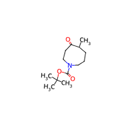 CC1CCCN(C(=O)OC(C)(C)C)CCC1=O